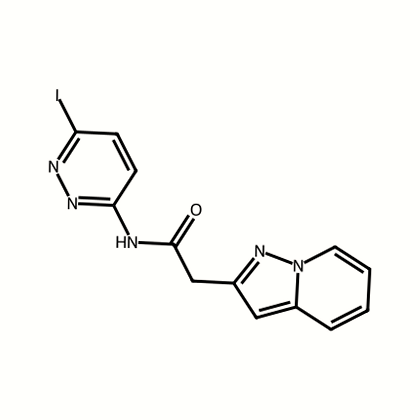 O=C(Cc1cc2ccccn2n1)Nc1ccc(I)nn1